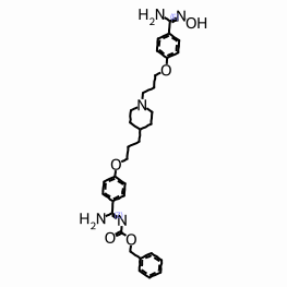 N/C(=N\C(=O)OCc1ccccc1)c1ccc(OCCCC2CCN(CCCOc3ccc(/C(N)=N\O)cc3)CC2)cc1